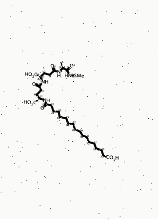 CSNC(=O)[C@H](C)NC(=O)CC[C@H](NC(=O)CC[C@H](NC(=O)CCCCCCCCCCCCCCCCC(=O)O)C(=O)O)C(=O)O